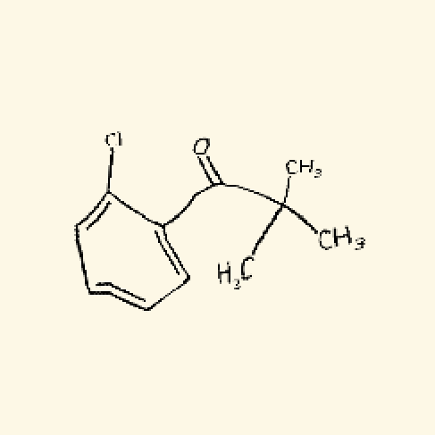 CC(C)(C)C(=O)c1ccccc1Cl